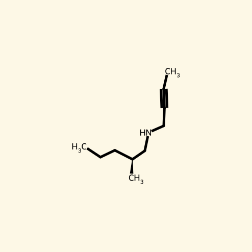 CC#CCNC[C@@H](C)CCC